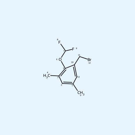 Cc1cc(C)c(OC(F)F)c(CBr)c1